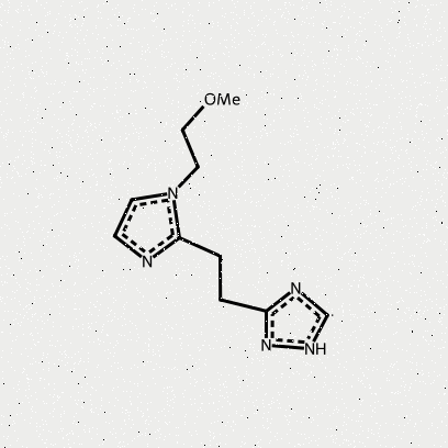 COCCn1ccnc1CCc1n[c][nH]n1